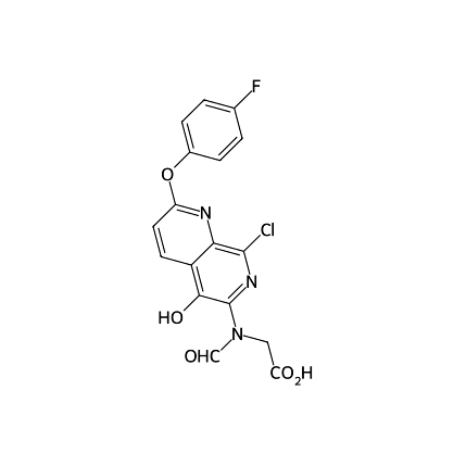 O=CN(CC(=O)O)c1nc(Cl)c2nc(Oc3ccc(F)cc3)ccc2c1O